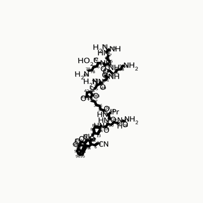 COC1(c2ccc(/C=C/C#N)c(OCc3ccc(NC(=O)C(CCCNC(N)=O)NC(=O)C(NC(=O)CCCCCN4C(=O)CC(SC[C@@H](N)C(=O)NCC(=O)N[C@H](CCCCN)C(=O)N[C@H](CCCNC(=N)N)C(=O)N[C@H](CCCCN)C(=O)O)C4=O)C(C)C)cc3)c2Cl)OOC12C1CC3CC(C1)CC2C3